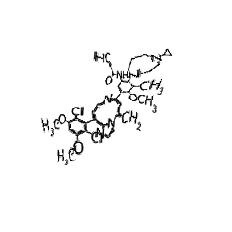 C#CC(=O)NC1=C(N2CCCN(C3CC3)CC2)C(C)[C@H](OC)C(c2cc(=C)n3ccnc3c(-c3c(Cl)c(OC)cc(OC)c3Cl)ccn2)=C1